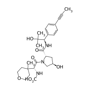 CC#Cc1ccc([C@@H](NC(=O)[C@@H]2C[C@@H](O)CN2C(=O)[C@H](NC(=O)O)C2(C)CCOCC2)C(C)(C)O)cc1